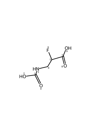 O=C(O)NCC(F)C(=O)O